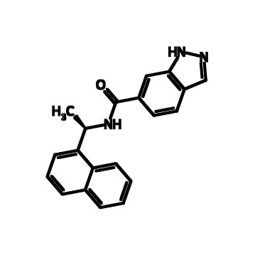 C[C@@H](NC(=O)c1ccc2cn[nH]c2c1)c1cccc2ccccc12